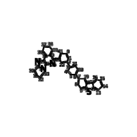 c1cc(-c2ccc(-c3ccc4sc5ccccc5c4c3)cc2)cc(-c2nc3c(nc4ccccn43)c3ccccc23)c1